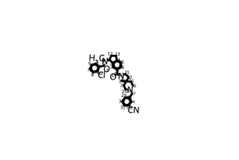 CN(C(=O)c1ccccc1Cl)C1CCc2ccc(C(=O)N3CCC4(CCN(Cc5cccc(C#N)c5)CC4)C3)cc21